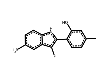 Bc1ccc2[nH]c(-c3ccc(C)cc3O)c(F)c2c1